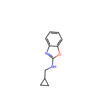 c1ccc2oc(NCC3CC3)nc2c1